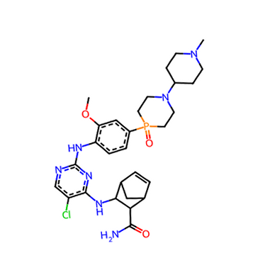 COc1cc(P2(=O)CCN(C3CCN(C)CC3)CC2)ccc1Nc1ncc(Cl)c(NC2C3C=CC(C3)C2C(N)=O)n1